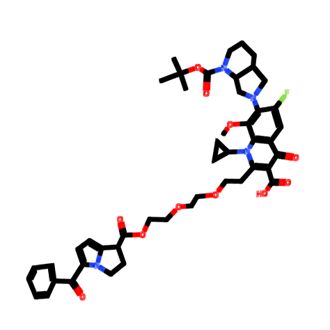 COc1c(N2CC3CCCN(C(=O)OC(C)(C)C)C3C2)c(F)cc2c(=O)c(C(=O)O)c(CCOCCOCCOC(=O)C3CCn4c(C(=O)c5ccccc5)ccc43)n(C3CC3)c12